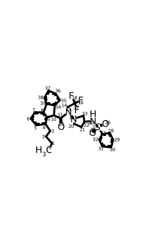 CCCCc1cccc2c1C(C(=O)N(CC(F)(F)F)N1CCC(NS(=O)(=O)c3ccccc3)C1)c1ccccc1-2